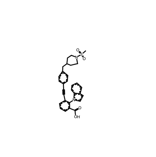 CS(=O)(=O)N1CCC(Cc2ccc(C#Cc3cccc(C(=O)O)c3-n3ccc4ccccc43)cc2)CC1